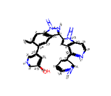 Cc1cc2[nH]nc(-c3cc4c(-c5cccnc5)nccc4[nH]3)c2cc1-c1cncc(O)c1